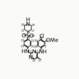 COc1cc(Nc2nc(Nc3ccc(S(=O)(=O)C4CCNCC4)cc3)ncc2C)ccc1Cl